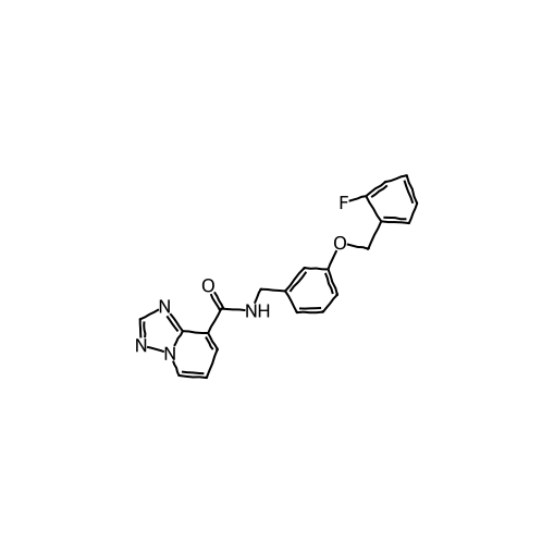 O=C(NCc1cccc(OCc2ccccc2F)c1)c1cccn2ncnc12